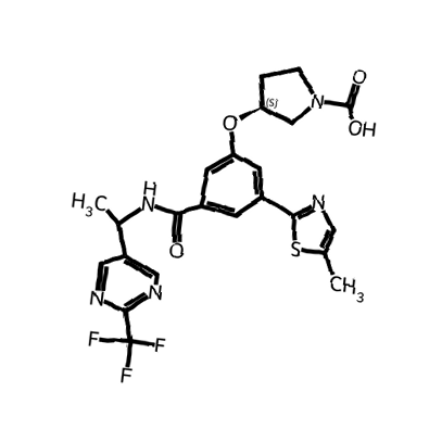 Cc1cnc(-c2cc(O[C@H]3CCN(C(=O)O)C3)cc(C(=O)NC(C)c3cnc(C(F)(F)F)nc3)c2)s1